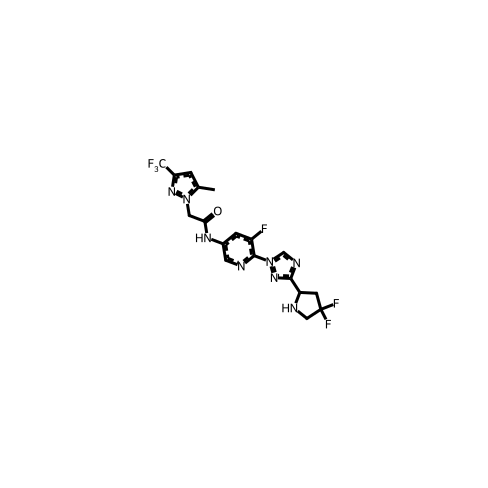 Cc1cc(C(F)(F)F)nn1CC(=O)Nc1cnc(-n2cnc(C3CC(F)(F)CN3)n2)c(F)c1